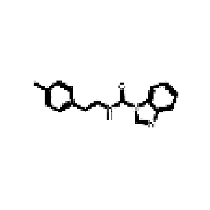 Cc1ccc(CCNC(=O)n2cnc3ccccc32)cc1